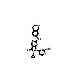 CC(C)(C)c1nccc(-n2c3nc(Nc4ccc5c(c4)CNCC5)ncc3c(=O)n2C2CC2)n1